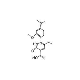 CCc1cc(C(=O)O)c(=O)[nH]c1-c1ccc(N(C)C)cc1OC